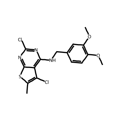 COc1ccc(CNc2nc(Cl)nc3sc(C)c(Cl)c23)cc1OC